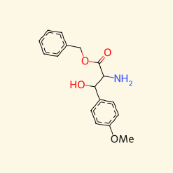 COc1ccc(C(O)C(N)C(=O)OCc2ccccc2)cc1